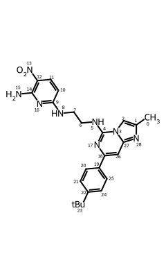 Cc1cn2c(NCCNc3ccc([N+](=O)[O-])c(N)n3)nc(-c3ccc(C(C)(C)C)cc3)cc2n1